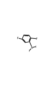 Fc1ccc(F)c(N(I)I)c1